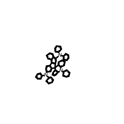 c1ccc(N(c2ccccc2)c2ccc3c(c2)C2(c4ccccc4N(c4ccccc4)c4ccccc42)c2cc(N(c4ccccc4)c4ccccc4)c4ccccc4c2-3)cc1